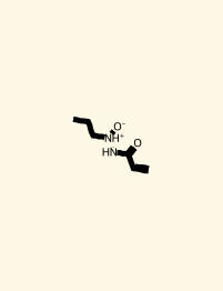 C=CC(=O)N[NH+]([O-])CCC